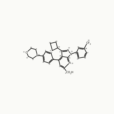 O=C(O)c1cc(-c2ccc(N3CCOCC3)cc2)c2c(C3CCC3)nn(-c3cccc(C(F)(F)F)c3)c2n1